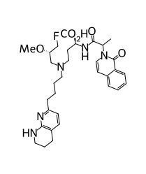 CO[C@H](CF)CN(CCCCc1ccc2c(n1)NCCC2)CC[C@H](NC(=O)C(C)n1ccc2ccccc2c1=O)C(=O)O